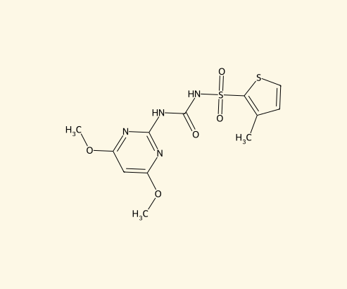 COc1cc(OC)nc(NC(=O)NS(=O)(=O)c2sccc2C)n1